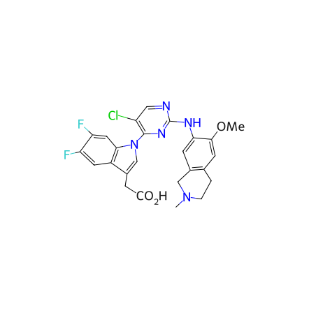 COc1cc2c(cc1Nc1ncc(Cl)c(-n3cc(CC(=O)O)c4cc(F)c(F)cc43)n1)CN(C)CC2